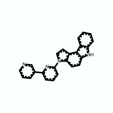 c1cncc(-c2cccc(-n3ccc4c5c(ccc43)[nH]c3ccccc35)n2)c1